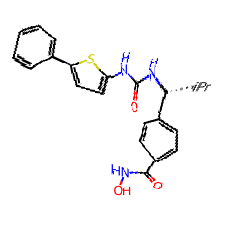 CC(C)[C@@H](NC(=O)Nc1ccc(-c2ccccc2)s1)c1ccc(C(=O)NO)cc1